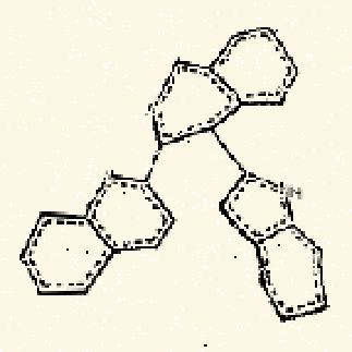 [c]1nc(-c2ccc3ccccc3n2)c(-c2cc3ccccc3[nH]2)c2ccccc12